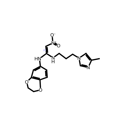 Cc1cn(CCCN/C(=C\[N+](=O)[O-])Nc2ccc3c(c2)OCCO3)cn1